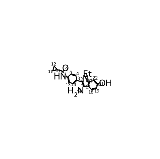 CCn1c(-c2ccc(NC(=O)C3CC3)cc2)c(N)c2ccc(O)cc21